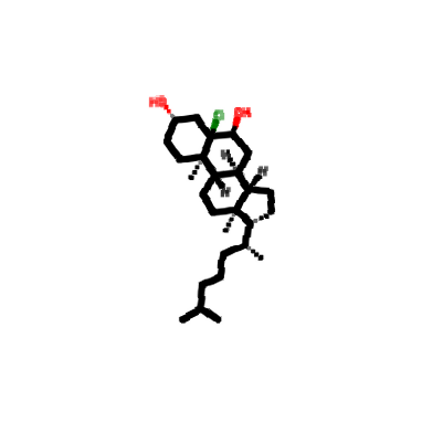 CC(C)CCC[C@@H](C)[C@H]1CC[C@H]2[C@@H]3C[C@H](O)[C@@]4(Cl)C[C@@H](O)CC[C@]4(C)[C@H]3CC[C@]12C